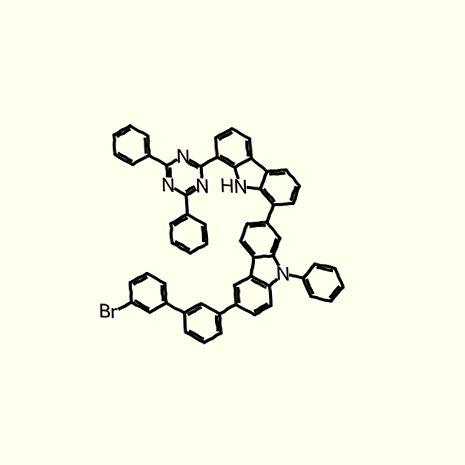 Brc1cccc(-c2cccc(-c3ccc4c(c3)c3ccc(-c5cccc6c5[nH]c5c(-c7nc(-c8ccccc8)nc(-c8ccccc8)n7)cccc56)cc3n4-c3ccccc3)c2)c1